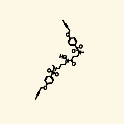 CC#CCOc1ccc(S(=O)(=O)N(C)CCCN(O)C(=O)CCN(C)S(=O)(=O)c2ccc(OCC#CC)cc2)cc1